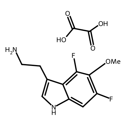 COc1c(F)cc2[nH]cc(CCN)c2c1F.O=C(O)C(=O)O